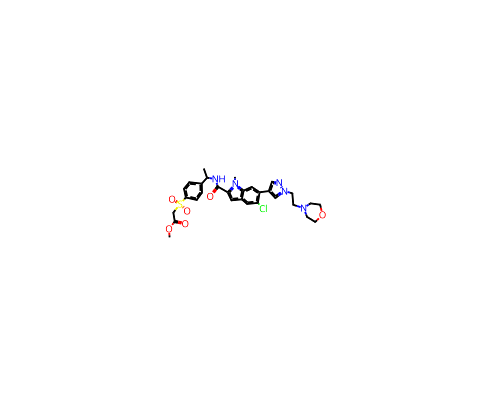 COC(=O)CS(=O)(=O)c1ccc(C(C)NC(=O)c2cc3cc(Cl)c(-c4cnn(CCN5CCOCC5)c4)cc3n2C)cc1